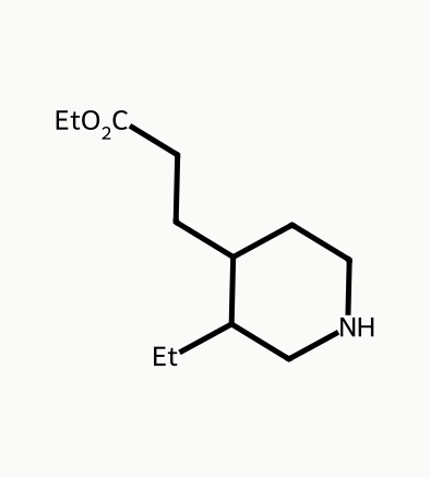 CCOC(=O)CCC1CCNCC1CC